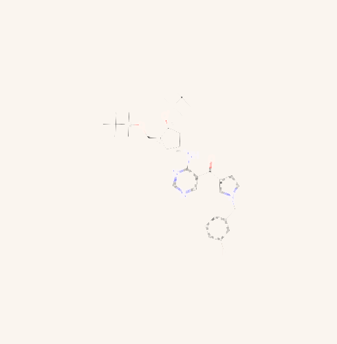 CC(C)(C)[Si](C)(C)OC[C@@H]1C[C@@H](Nc2ncncc2C(=O)c2ccn(Cc3cccc(Br)c3)c2)C[C@@H]1O[Si](C)(C)C(C)(C)C